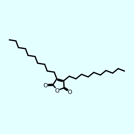 CCCCCCCCCCC1=C(CCCCCCCCCC)C(=O)OC1=O